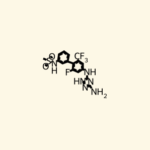 CS(=O)(=O)Nc1cccc(-c2c(F)cc(Nc3nc(N)n[nH]3)cc2C(F)(F)F)c1